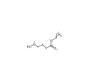 C=COC(=O)CCCOCC